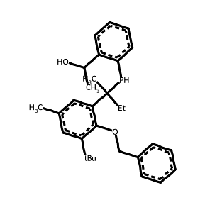 CCC(C)(Pc1ccccc1C(C)O)c1cc(C)cc(C(C)(C)C)c1OCc1ccccc1